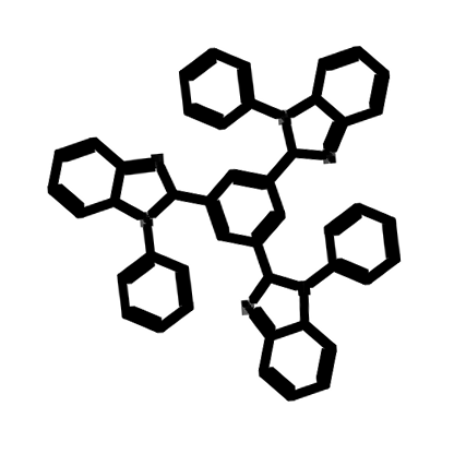 C1=CC2=NC(c3cc(C4N=C5C=CC=CC5N4c4ccccc4)cc(C4N=C5C=CC=CC5N4c4ccccc4)c3)N(c3ccccc3)C2C=C1